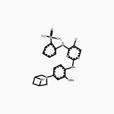 COc1cc(N2CC3CC(C2)N3)ccc1Nc1ncc(Cl)c(Nc2ccccc2P(C)(C)=O)n1